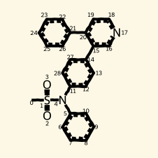 CS(=O)(=O)N(c1ccccc1)c1ccc(-c2cnccc2-c2ccccc2)cc1